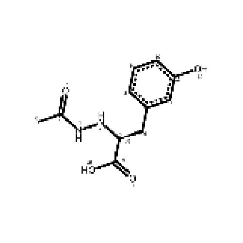 CC(=O)NN[C@@H](Cc1cccc(O)c1)C(=O)O